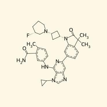 Cc1ccc(Nc2nc(-c3ccc4c(c3)N([C@H]3C[C@@H](N5CCC[C@@H](F)C5)C3)C(=O)C4(C)C)cc3ncn(C4CC4)c23)cc1C(N)=O